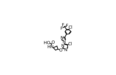 O=C(O)NC1CC(Oc2ncc(Cl)c(-n3cnc(-c4ccc(Cl)c(C(F)(F)F)c4)c3)n2)C1